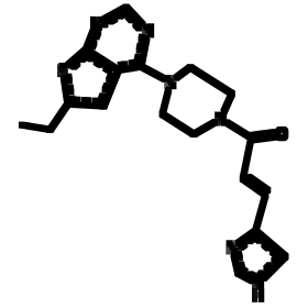 CCc1cc2c(N3CCN(C(=O)C=Cc4c[nH]cn4)CC3)ncnc2s1